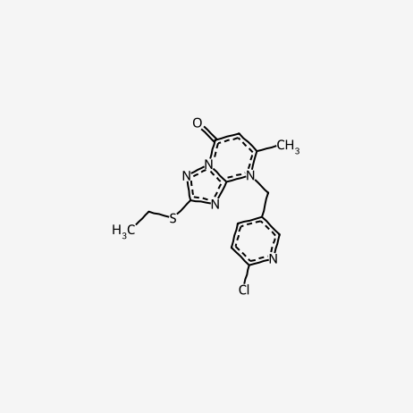 CCSc1nc2n(Cc3ccc(Cl)nc3)c(C)cc(=O)n2n1